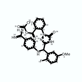 COc1ccc(F)c(C(Nc2ccc(C(=N)N)cc2)c2nn(-c3ccccc3C(=O)OC(=O)C(F)(F)F)c(=O)[nH]2)c1